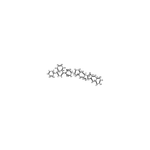 c1ccc(-c2ccc(-c3ncc(-c4ccc5cc6c(cc5c4)sc4c5cc7ccccc7cc5sc64)cn3)c3ccccc23)cc1